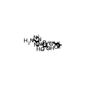 Nc1ncnc2c1ncn2[C@@H]1O[C@H](COCc2ccco2)[C@@H](O)[C@H]1O